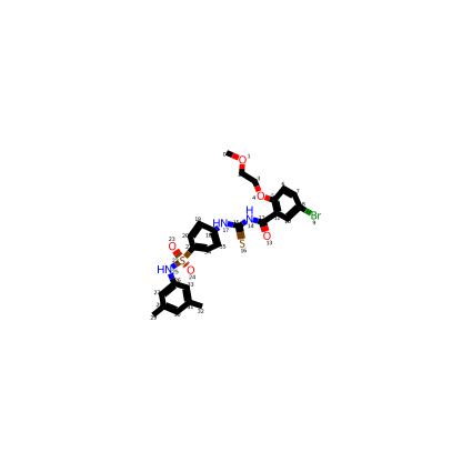 COCCOc1ccc(Br)cc1C(=O)NC(=S)Nc1ccc(S(=O)(=O)Nc2cc(C)cc(C)c2)cc1